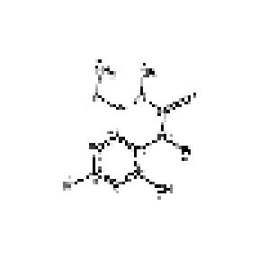 CCN(C(=O)OC(C)(C)C)c1c(C#N)cc(Br)cc1CCN